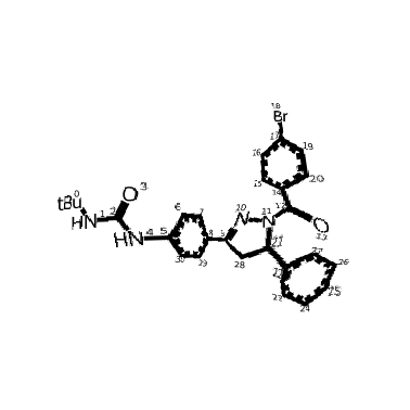 CC(C)(C)NC(=O)Nc1ccc(C2=NN(C(=O)c3ccc(Br)cc3)C(c3ccccc3)C2)cc1